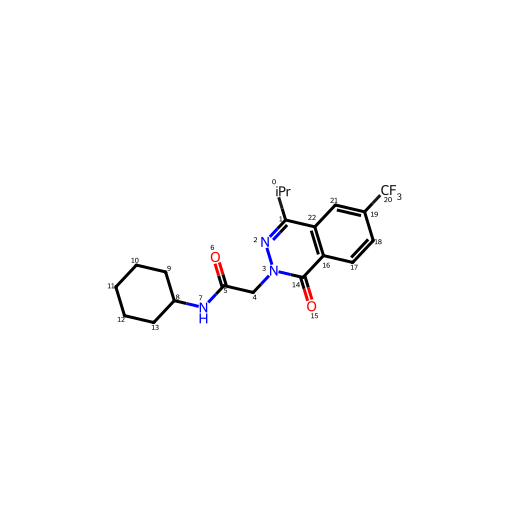 CC(C)c1nn(CC(=O)NC2CCCCC2)c(=O)c2ccc(C(F)(F)F)cc12